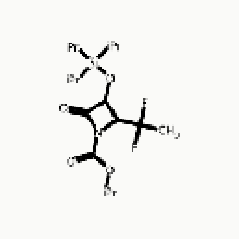 CC(C)OC(=O)N1C(=O)C(O[Si](C(C)C)(C(C)C)C(C)C)C1C(C)(F)F